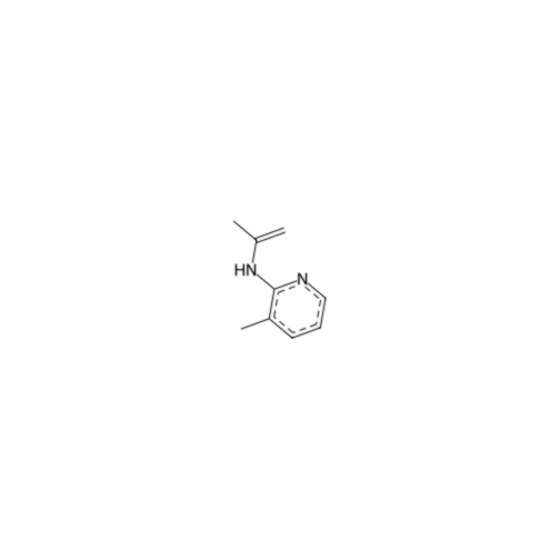 C=C(C)Nc1ncccc1C